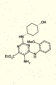 CCOC(=O)c1nc(N[C@H]2CC[C@@H](O)CC2)nc(Nc2ccccc2OC)c1N